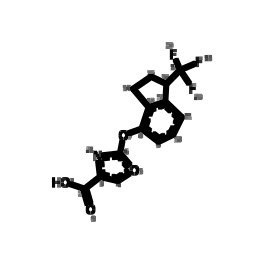 O=C(O)c1coc(Oc2cccc3c2CCC3C(F)(F)F)n1